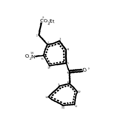 CCOC(=O)Cc1ccc(C(=O)c2ccccc2)cc1[N+](=O)[O-]